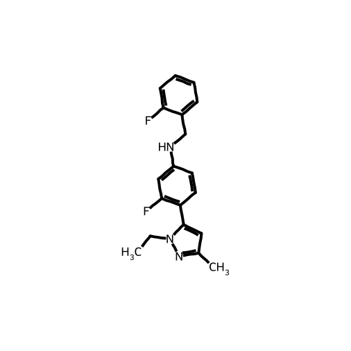 CCn1nc(C)cc1-c1ccc(NCc2ccccc2F)cc1F